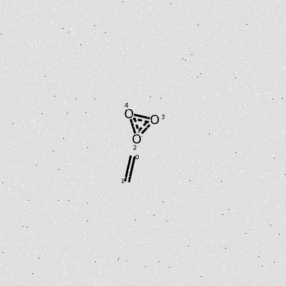 C=C.o1oo1